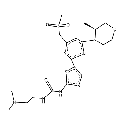 C[C@H]1COCCN1c1cc(CS(C)(=O)=O)nc(-c2cnc(NC(=O)NCCN(C)C)s2)n1